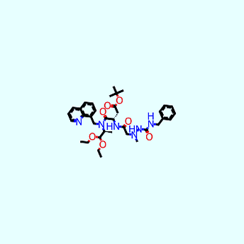 CCOC(OCC)[C@H](C)N(Cc1cccc2cccnc12)C(=O)[C@H](CC(=O)OC(C)(C)C)NC(=O)CN(C)NC(=O)NCc1ccccc1